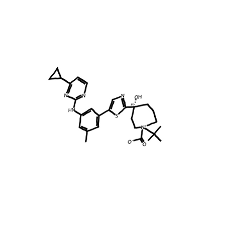 Cc1cc(Nc2nccc(C3CC3)n2)cc(-c2cnc([C@@]3(O)CCC[N+](C(=O)[O-])(C(C)(C)C)CC3)s2)c1